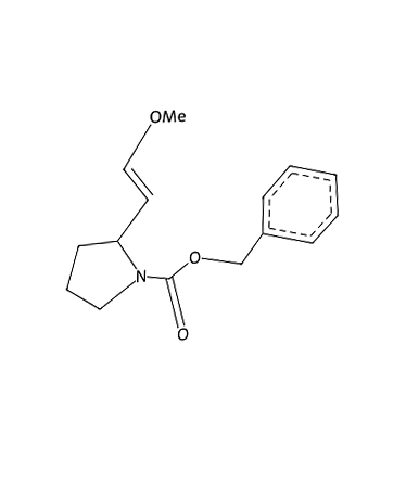 CO/C=C/C1CCCN1C(=O)OCc1ccccc1